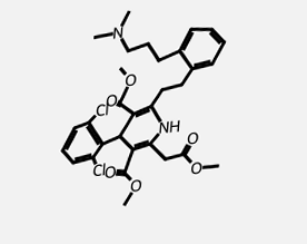 COC(=O)CC1=C(C(=O)OC)C(c2c(Cl)cccc2Cl)C(C(=O)OC)=C(CCc2ccccc2CCCN(C)C)N1